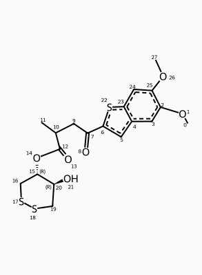 COc1cc2cc(C(=O)CC(C)C(=O)O[C@H]3CSSC[C@@H]3O)sc2cc1OC